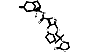 C=C1CC2CC3CC(C1)(C2)[C@@H]3NC(=O)c1onc(OCC(C)(C)N2CCOC2=O)c1SC1CCCC1